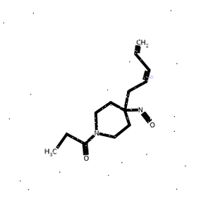 C=C/C=C\CC1(N=O)CCN(C(=O)CC)CC1